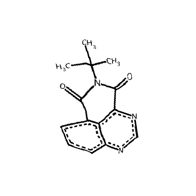 CC(C)(C)N1C(=O)c2cccc3ncnc(c23)C1=O